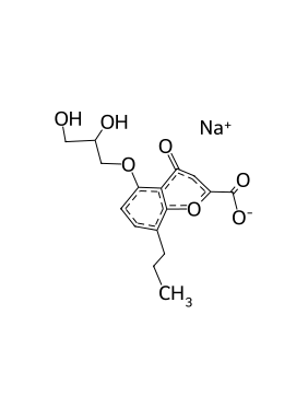 CCCc1ccc(OCC(O)CO)c2c(=O)cc(C(=O)[O-])oc12.[Na+]